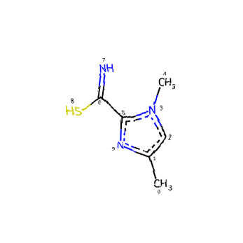 Cc1cn(C)c(C(=N)S)n1